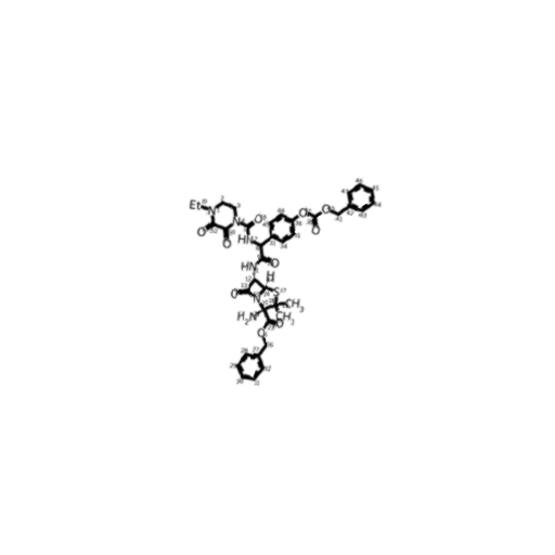 CCN1CCN(C(=O)NC(C(=O)N[C@H]2C(=O)N3[C@@H]2SC(C)(C)[C@]3(N)C(=O)OCc2ccccc2)c2ccc(OC(=O)OCc3ccccc3)cc2)C(=O)C1=O